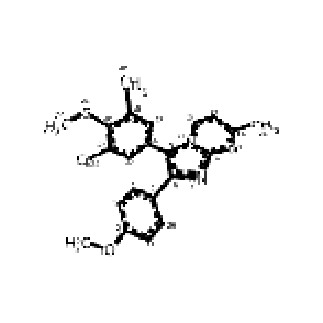 COc1ccc(-c2nc3nc(C)ccn3c2-c2cc(C)c(SC)c(Cl)c2)cc1